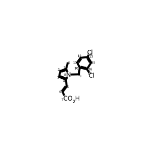 Cc1ccc(C=CC(=O)O)n1Cc1ccc(Cl)cc1Cl